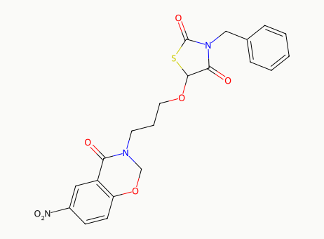 O=C1c2cc([N+](=O)[O-])ccc2OCN1CCCOC1SC(=O)N(Cc2ccccc2)C1=O